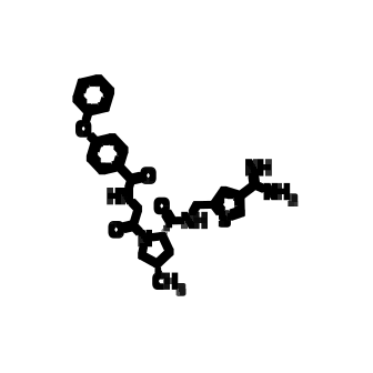 C[C@H]1C[C@@H](C(=O)NCc2cc(C(=N)N)cs2)N(C(=O)CNC(=O)c2ccc(Oc3ccccc3)cc2)C1